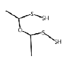 CC(OC(C)SS)SS